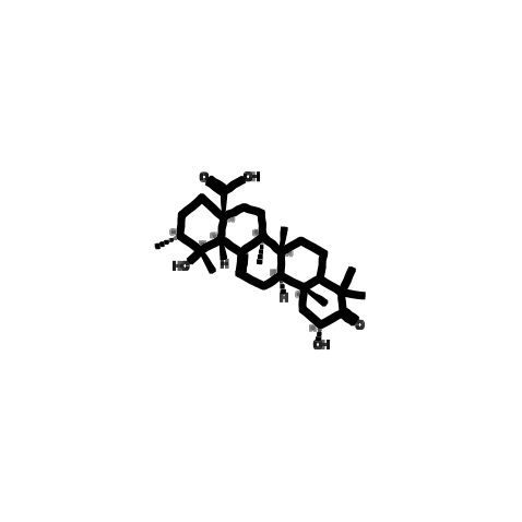 C[C@@H]1CC[C@]2(C(=O)O)CC[C@]3(C)C(=CC[C@@H]4[C@@]5(C)C[C@@H](O)C(=O)C(C)(C)C5CC[C@]43C)[C@@H]2[C@]1(C)O